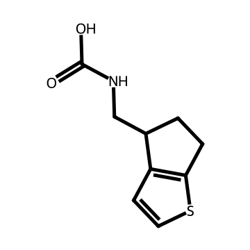 O=C(O)NCC1CCc2sccc21